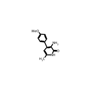 COc1ccc(-c2cc(C)[nH]c(=O)c2N)cc1